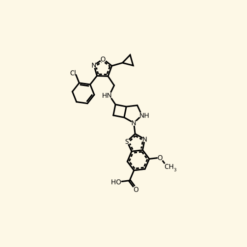 COc1cc(C(=O)O)cc2sc(N3NCC4C(NCc5c(C6=C(Cl)CCC=C6)noc5C5CC5)CC43)nc12